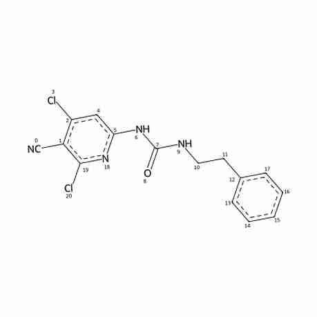 N#Cc1c(Cl)cc(NC(=O)NCCc2ccccc2)nc1Cl